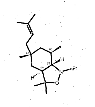 CC(C)=CC[C@]1(C)C[C@@H](C)[C@H]2[C@H](C1)C(C)(C)ON2C(C)C